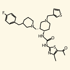 CC(=O)c1sc(NC(=O)N[C@@H]2CCN(Cc3ccsc3)C[C@H]2CN2CCCC(Cc3ccc(F)cc3)C2)nc1C